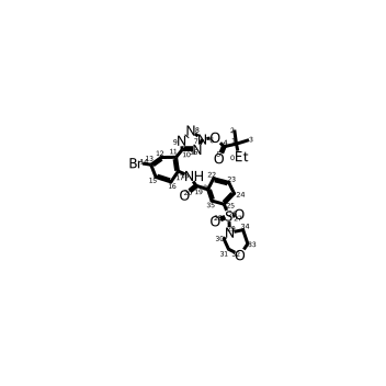 CCC(C)(C)C(=O)On1nnc(-c2cc(Br)ccc2NC(=O)c2cccc(S(=O)(=O)N3CCOCC3)c2)n1